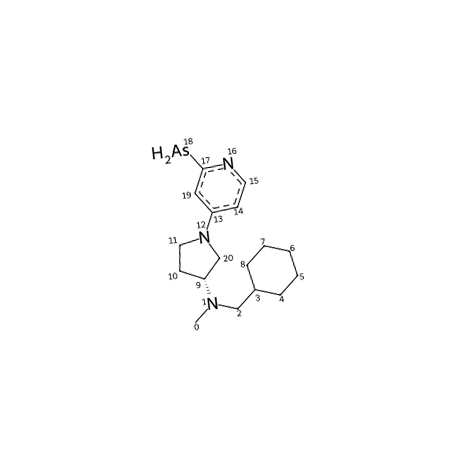 CN(CC1CCCCC1)[C@@H]1CCN(c2ccnc([AsH2])c2)C1